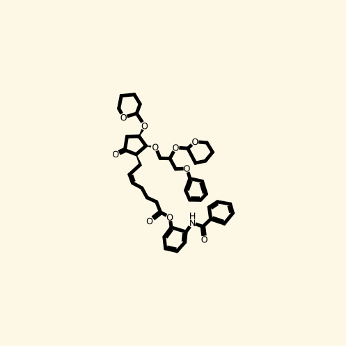 O=C(CCC/C=C\C[C@H]1C(=O)C[C@@H](OC2CCCCO2)[C@@H]1OCC(COc1ccccc1)OC1CCCCO1)Oc1ccccc1NC(=O)c1ccccc1